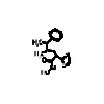 CC(CC(C(=O)NO)c1ncco1)C(C)c1ccccc1